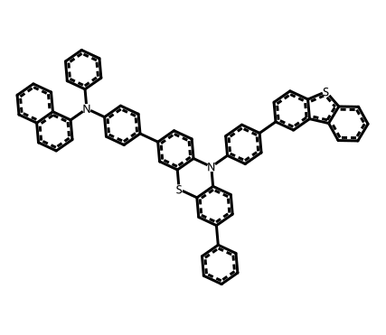 c1ccc(-c2ccc3c(c2)Sc2cc(-c4ccc(N(c5ccccc5)c5cccc6ccccc56)cc4)ccc2N3c2ccc(-c3ccc4sc5ccccc5c4c3)cc2)cc1